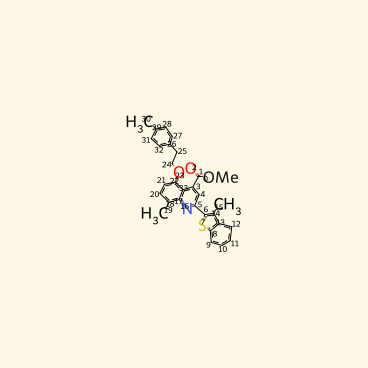 COC(=O)c1cc(-c2sc3ccccc3c2C)nc2c(C)ccc(OCCc3ccc(C)cc3)c12